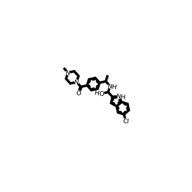 CC(NC(O)c1cc2cc(Cl)ccc2[nH]1)c1ccc(C(=O)N2CCN(C)CC2)cc1